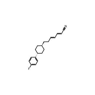 N#CC=CC=CCC[C@H]1CC[C@H](c2ccc(F)cc2)CC1